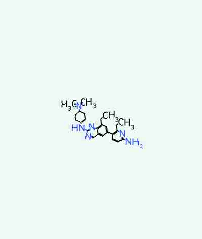 CCc1nc(N)ccc1-c1cc(CC)c2nc(N[C@H]3CC[C@H](N(C)C)CC3)ncc2c1